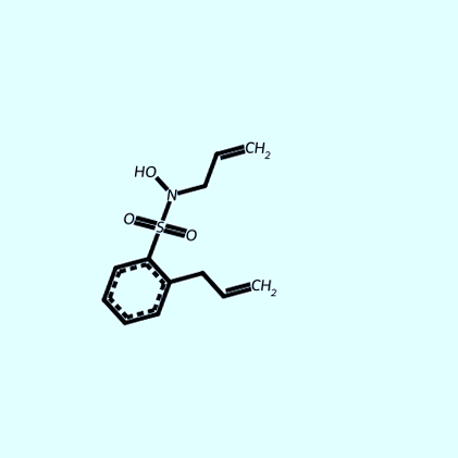 C=CCc1ccccc1S(=O)(=O)N(O)CC=C